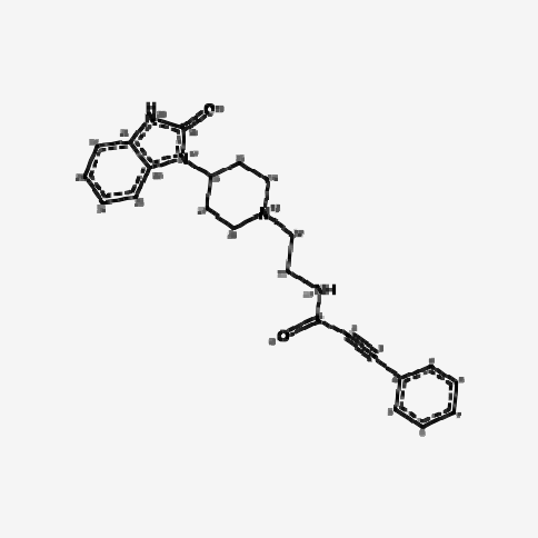 O=C(C#Cc1ccccc1)NCCN1CCC(n2c(=O)[nH]c3ccccc32)CC1